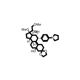 COC[C@H](O)[C@@]1(OC)CC[C@H]2[C@@H]3CC[C@@]4(O)CC5(CCC4=C3[C@@H](c3ccc(N4CCCC4)cc3)C[C@@]21C)OCCO5